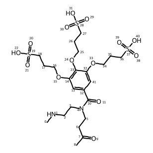 CNCCN(CCC(C)=O)C(=O)c1cc(OCCCS(=O)(=O)O)c(OCCCS(=O)(=O)O)c(OCCCS(=O)(=O)O)c1